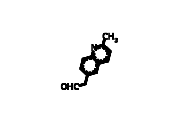 Cc1ccc2cc(CC=O)ccc2n1